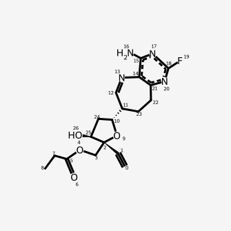 C#C[C@]1(COC(=O)CC)O[C@@H](C2C=Nc3c(N)nc(F)nc3CC2)C[C@@H]1O